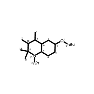 CCCCOC1CCC2C(C1)C(C)C(C)C(C)(C)N2CCC